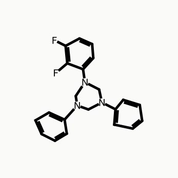 Fc1cccc(N2CN(c3ccccc3)CN(c3ccccc3)C2)c1F